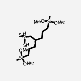 CO[Si](C)(CCCC(CCC[Si](C)(OC)OC)C[PH](=S)S)OC